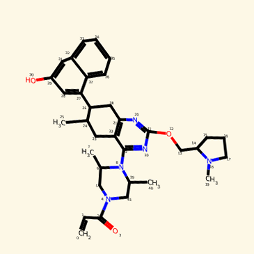 C=CC(=O)N1CC(C)N(c2nc(OCC3CCCN3C)nc3c2CC(C)C(c2cc(O)cc4ccccc24)C3)C(C)C1